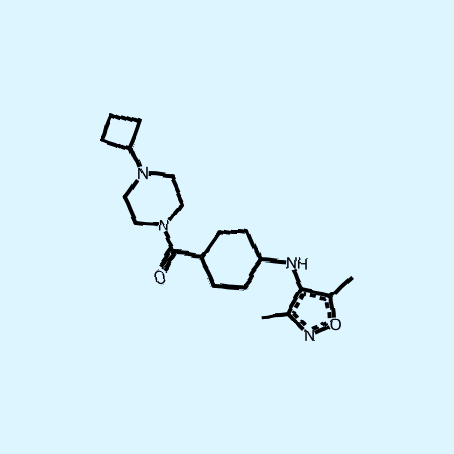 Cc1noc(C)c1NC1CCC(C(=O)N2CCN(C3CCC3)CC2)CC1